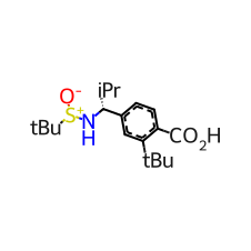 CC(C)[C@@H](N[S+]([O-])C(C)(C)C)c1ccc(C(=O)O)c(C(C)(C)C)c1